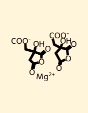 O=C([O-])CC1(O)CC(=O)OC1=O.O=C([O-])CC1(O)CC(=O)OC1=O.[Mg+2]